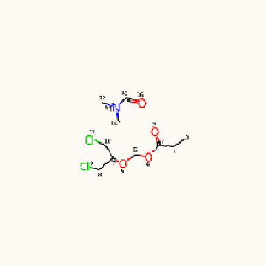 CCC(=O)OCOC(CCl)CCl.CN(C)C=O